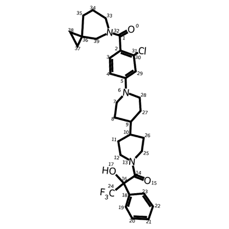 O=C(c1ccc(N2CCC(C3CCN(C(=O)C(O)(c4ccccc4)C(F)(F)F)CC3)CC2)cc1Cl)N1CCCC2(CC2)C1